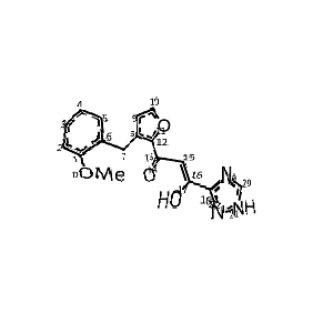 COc1ccccc1Cc1ccoc1C(=O)C=C(O)c1nc[nH]n1